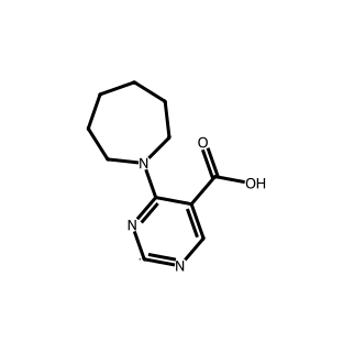 O=C(O)c1cn[c]nc1N1CCCCCC1